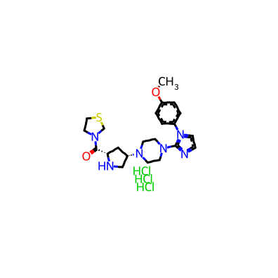 COc1ccc(-n2ccnc2N2CCN([C@@H]3CN[C@H](C(=O)N4CCSC4)C3)CC2)cc1.Cl.Cl.Cl